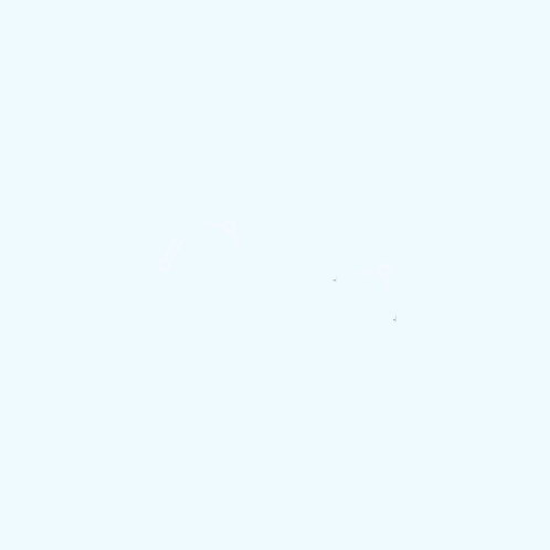 C=CC(=O)OCC(C)(C)[Si](C)(C)O[Si](C)(C)C